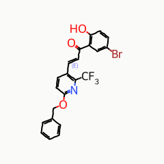 O=C(/C=C/c1ccc(OCc2ccccc2)nc1C(F)(F)F)c1cc(Br)ccc1O